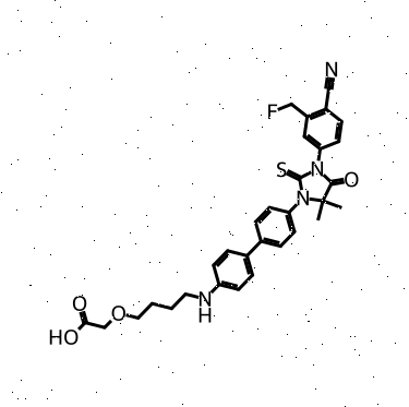 CC1(C)C(=O)N(c2ccc(C#N)c(CF)c2)C(=S)N1c1ccc(-c2ccc(NCCCCOCC(=O)O)cc2)cc1